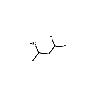 CC(O)CC(F)F